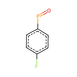 O=Pc1ccc(F)cc1